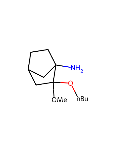 CCCCOC1(OC)CC2CCC1(N)C2